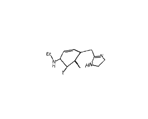 CCNC1C=CC(CC2=NCCN2)C(C)C1I